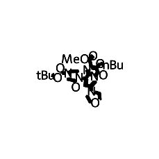 CCCCOc1c(C(=O)OC)nc2c(N3CCN(C(=O)OC(C)(C)C)CC3=O)cc(N3CCOCC3)cn2c1=O